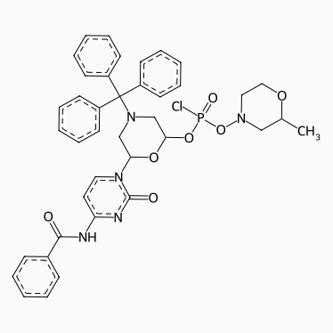 CC1CN(OP(=O)(Cl)OC2CN(C(c3ccccc3)(c3ccccc3)c3ccccc3)CC(n3ccc(NC(=O)c4ccccc4)nc3=O)O2)CCO1